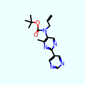 C=CCN(C(=O)OC(C)(C)C)c1cnc(-c2cncnc2)nc1C